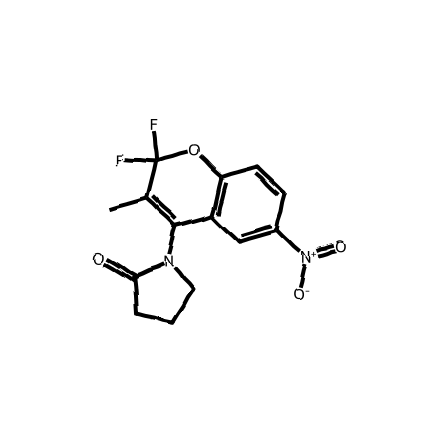 CC1=C(N2CCCC2=O)c2cc([N+](=O)[O-])ccc2OC1(F)F